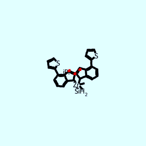 CC1=Cc2c(-c3cccs3)cccc2[CH]1[Zr]([CH3])([CH3])(=[SiH2])[CH]1C(C(C)C)=Cc2c(-c3cccs3)cccc21